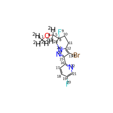 [2H]C([2H])([2H])OC([2H])([2H])C1(F)CCc2c(Br)c(-c3ccc(F)cn3)nn2C1